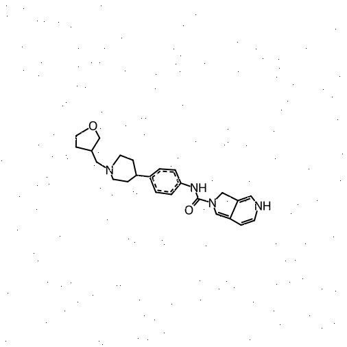 O=C(Nc1ccc(C2CCN(CC3CCOC3)CC2)cc1)N1C=C2C=CNC=C2C1